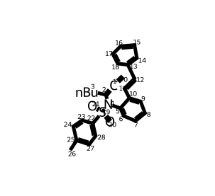 C=C=C(CCCC)N(c1ccccc1C=Cc1ccccc1)S(=O)(=O)c1ccc(C)cc1